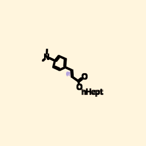 CCCCCCCOC(=O)/C=C/c1ccc(N(C)C)cc1